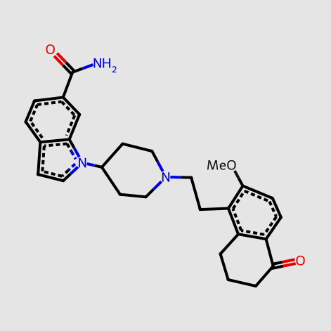 COc1ccc2c(c1CCN1CCC(n3ccc4ccc(C(N)=O)cc43)CC1)CCCC2=O